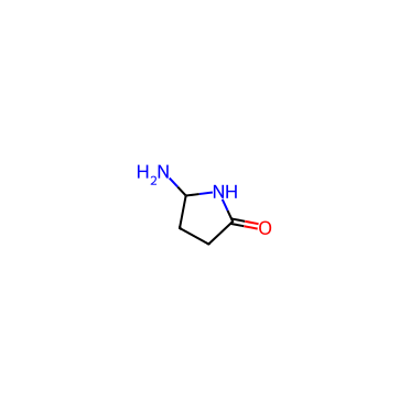 NC1CCC(=O)N1